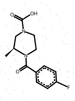 C[C@H]1CN(C(=O)O)CCN1C(=O)c1ccc(F)cc1